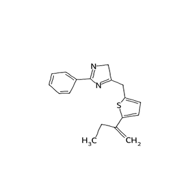 C=C(CC)c1ccc(CC2=NC(c3ccccc3)=NC2)s1